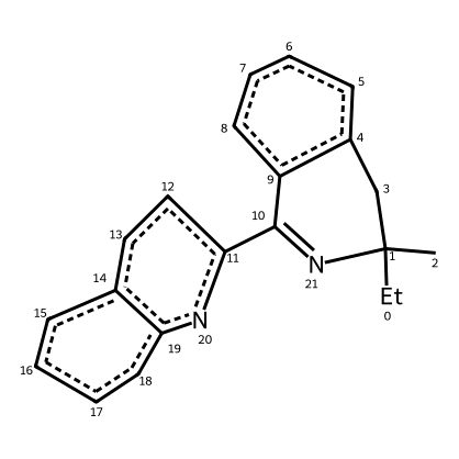 CCC1(C)Cc2ccccc2C(c2ccc3ccccc3n2)=N1